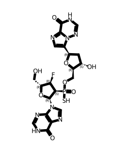 O=c1[nH]cnc2c1ncn2[C@@H]1O[C@H](CO)[C@@H](F)[C@H]1P(=O)(S)OC[C@H]1O[C@@H](c2cnc3c(=O)[nH]cnn23)C[C@@H]1O